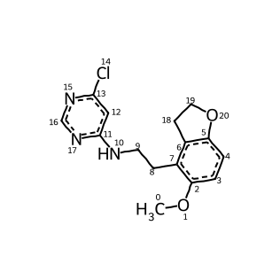 COc1ccc2c(c1CCNc1cc(Cl)ncn1)CCO2